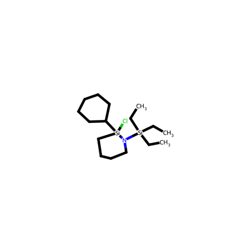 CC[Si](CC)(CC)N1CCCC[Si]1(Cl)C1CCCCC1